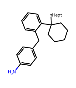 CCCCCCCC1(c2ccccc2Cc2ccc(N)cc2)CCCCC1